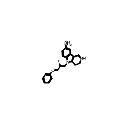 Bc1ccc2c(c1)c1c(n2CC(F)COc2ccccc2)CCNC1